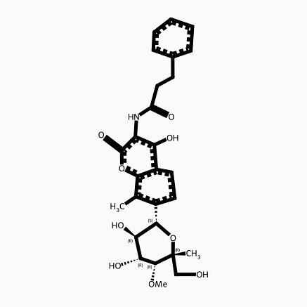 CO[C@@H]1[C@H](O)[C@@H](O)[C@H](c2ccc3c(O)c(NC(=O)CCc4ccccc4)c(=O)oc3c2C)O[C@]1(C)CO